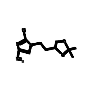 CC1(C)OCC(CCn2cc([N+](=O)[O-])nc2Cl)O1